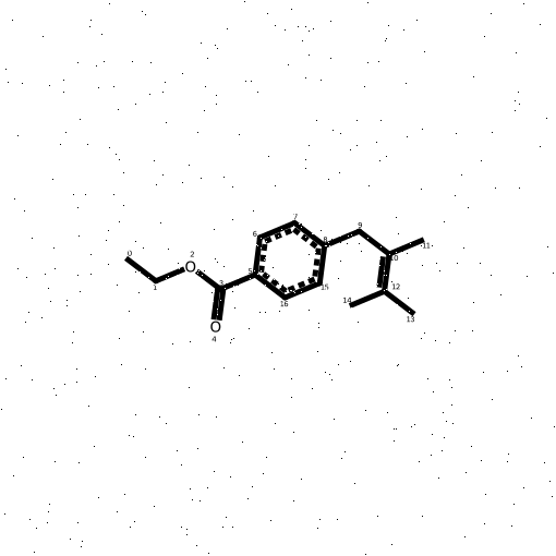 CCOC(=O)c1ccc(CC(C)=C(C)C)cc1